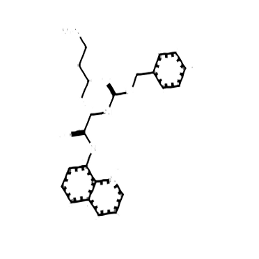 CNCCCC[C@H](NC(=O)OCc1ccccc1)C(=O)Nc1cccc2cccnc12